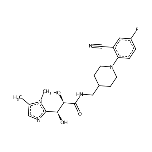 Cc1cnc([C@H](O)[C@@H](O)C(=O)NCC2CCN(c3ccc(F)cc3C#N)CC2)n1C